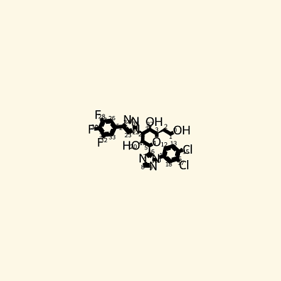 OCC[C@H]1O[C@@H](c2ncnn2-c2ccc(Cl)c(Cl)c2)[C@H](O)[C@@H](n2cc(-c3cc(F)c(F)c(F)c3)nn2)[C@H]1O